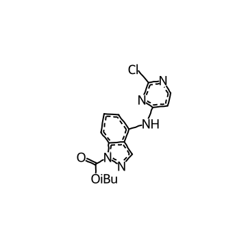 CC(C)COC(=O)n1ncc2c(Nc3ccnc(Cl)n3)cccc21